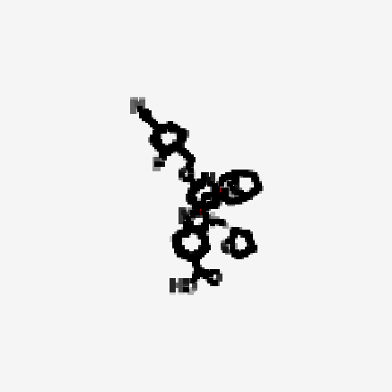 N#Cc1ccc(COc2cccc(N3C4CCC3CN(Cc3nc5ccc(C(=O)O)cc5n3C[C@@H]3CCCO3)C4)n2)c(F)c1